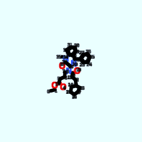 CCOC(=O)CCCN(C(=O)CCC1CCCCC1)C1N=C(c2ccccc2)c2ccccc2N(C)C1=O